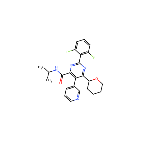 CC(C)NC(=O)c1nc(-c2c(F)cccc2F)nc(C2CCCCO2)c1-c1cccnc1